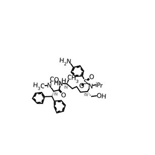 CC(C)N([C@H](CO)CCC[C@H](C)NC(=O)[C@H](C(c1ccccc1)c1ccccc1)N(C)C(=O)O)S(=O)(=O)c1ccc(N)cc1